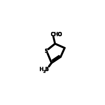 BC1=CCC(C=O)S1